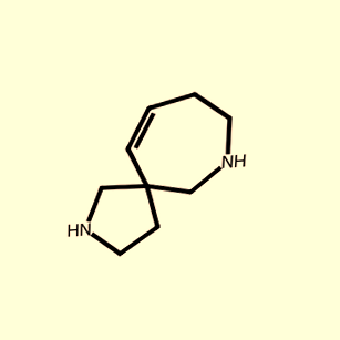 C1=CC2(CCNC2)CNCC1